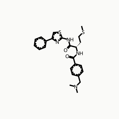 CSCC[C@H](NC(=O)c1ccc(CN(C)C)cc1)C(=O)Nc1nc(-c2ccccc2)cs1